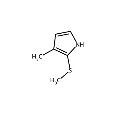 CSc1[nH]ccc1C